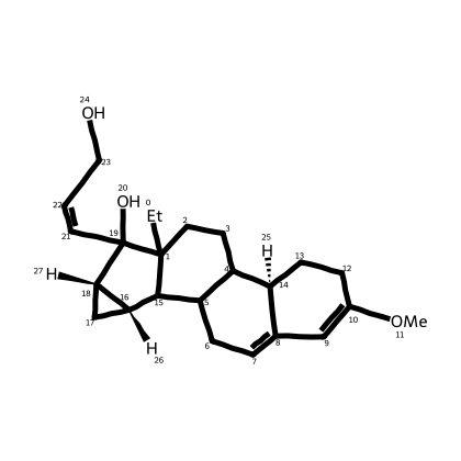 CCC12CCC3C(CC=C4C=C(OC)CC[C@@H]43)C1[C@@H]1C[C@@H]1C2(O)/C=C\CO